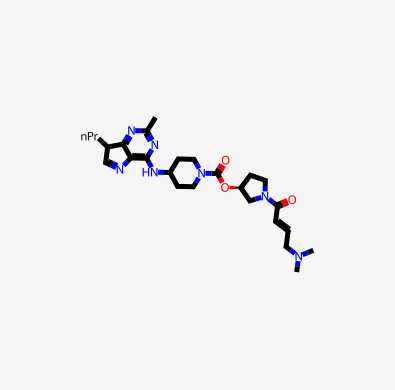 CCCC1C=Nc2c(NC3CCN(C(=O)O[C@H]4CCN(C(=O)/C=C/CN(C)C)C4)CC3)nc(C)nc21